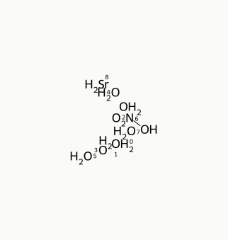 O.O.O.O.O.O.O=[N+]([O-])O.[SrH2]